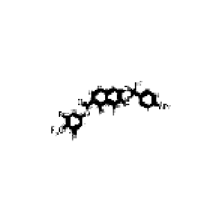 CCCc1ccc(C(F)(F)Oc2cc3ccc(C(=O)Oc4cc(F)c(C(F)(F)F)c(F)c4)c(F)c3c(F)c2F)cc1